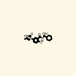 Cc1cn(-c2ccc(Cl)c(C(=O)NC(O)C3CCCCC3)c2)c(=O)[nH]1